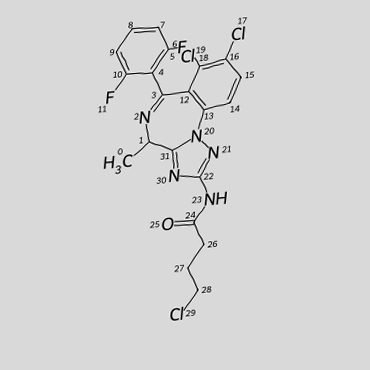 CC1N=C(c2c(F)cccc2F)c2c(ccc(Cl)c2Cl)-n2nc(NC(=O)CCCCl)nc21